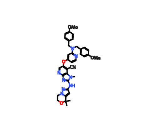 COc1ccc(CN(Cc2ccc(OC)cc2)c2cc(Oc3cnc4nc(Nc5cc6n(n5)CCOC6(C)C)n(C)c4c3C#N)ccn2)cc1